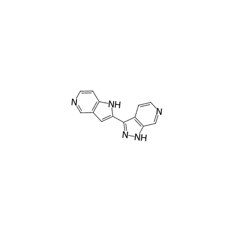 c1cc2[nH]c(-c3n[nH]c4cnccc34)cc2cn1